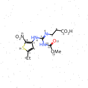 CCc1cc(NC(=NCCC(=O)O)NC(=O)OC)c([N+](=O)[O-])s1